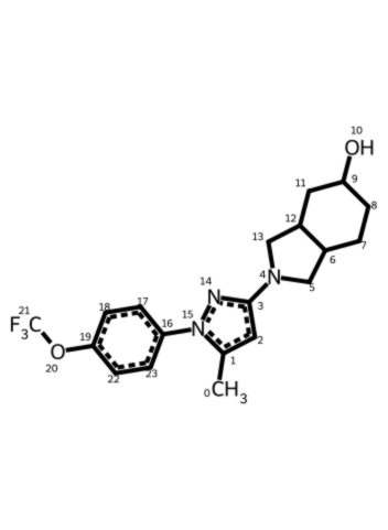 Cc1cc(N2CC3CCC(O)CC3C2)nn1-c1ccc(OC(F)(F)F)cc1